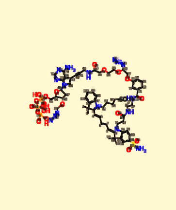 CC1(C)C(/C=C/C=C/C=C2\N(CCC(=O)NCCNC(=O)c3cccc(OCC(N=[N+]=[N-])OCCOCC(=O)NCC#Cc4cn([C@H]5CC(OCN=[N+]=[N-])[C@@H](COP(=O)(O)OP(=O)(O)OP(=O)(O)O)O5)c5ncnc(N)c45)c3)c3ccc(S(N)(=O)=O)cc3C2(C)C)=[N+](CCCCS(=O)(=O)O)c2ccccc21